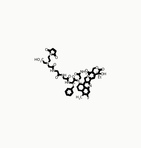 CC[C@@]1(O)C(=O)OCc2c1cc1n(c2=O)Cc2c-1nc1cc(F)c(C)c3c1c2[C@@H](N(CC(N)=O)C(=O)[C@H](Cc1ccccc1)NC(=O)CNC(=O)CNC(=O)CN(CCN1C(=O)C=CC1=O)CC(=O)O)CC3